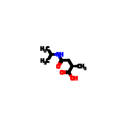 CC(C)NC(=O)C[C@@H](C)C(=O)O